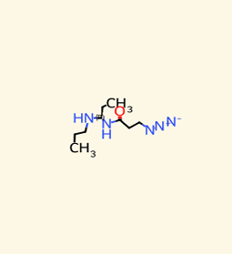 CCCN[C@@H](CC)NC(=O)CCN=[N+]=[N-]